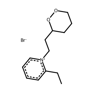 CCc1cccc[n+]1CCC1CCCOO1.[Br-]